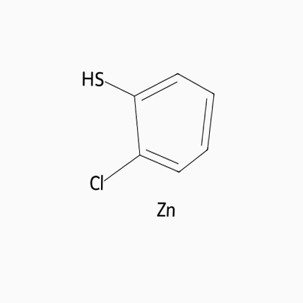 Sc1ccccc1Cl.[Zn]